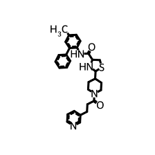 Cc1ccc(NC(=O)C2CSC(C3CCN(C(=O)CCc4cccnc4)CC3)N2)c(-c2ccccc2)c1